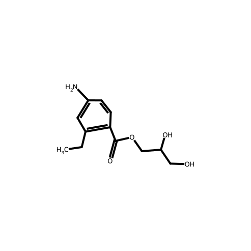 CCc1cc(N)ccc1C(=O)OCC(O)CO